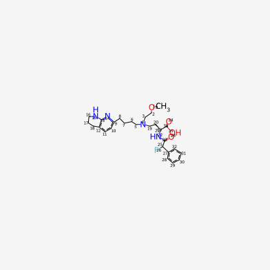 COCCN(CCCCc1ccc2c(n1)NCCC2)CC[C@H](NC(=O)C(F)c1ccccc1)C(=O)O